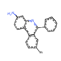 CC(C)c1ccc2c(c1)c(-c1ccccc1)nc1cc(N)ccc12